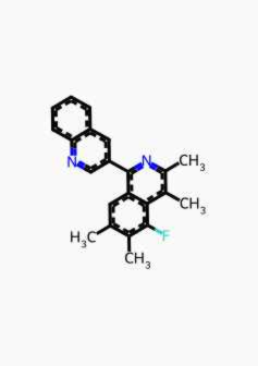 Cc1cc2c(-c3cnc4ccccc4c3)nc(C)c(C)c2c(F)c1C